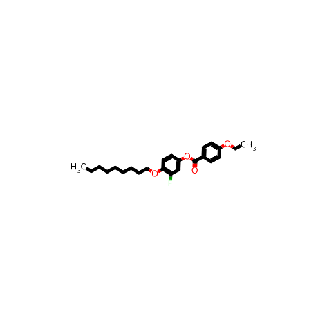 CCCCCCCCCOc1ccc(OC(=O)c2ccc(OCC)cc2)cc1F